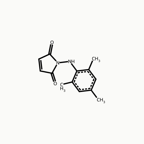 Cc1cc(C)c(NN2C(=O)C=CC2=O)c(C)c1